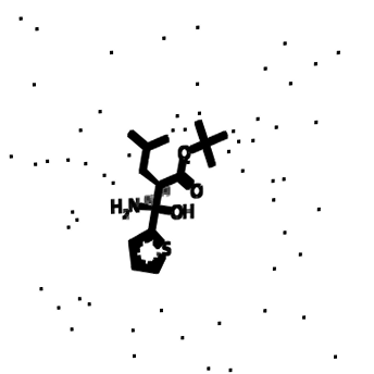 CC(C)C[C@@H](C(=O)OC(C)(C)C)[C@](N)(O)c1cccs1